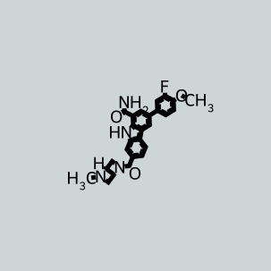 COc1ccc(-c2cc(C(N)=O)c3[nH]c4cc(C(=O)N5C[C@@H]6C5CN6C)ccc4c3c2)cc1F